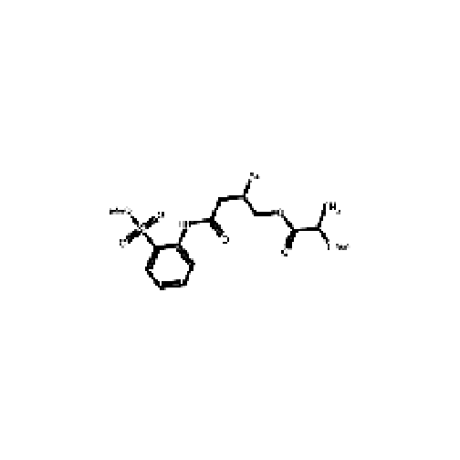 COC(C)C(=O)OCC(CC(=O)Nc1ccccc1S(=O)(=O)OC)C(C)=O